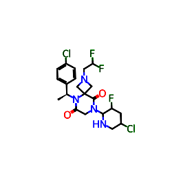 C[C@@H](c1ccc(Cl)cc1)N1C(=O)CN(C2NCC(Cl)CC2F)C(=O)C12CN(CC(F)F)C2